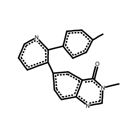 Cc1ccc(-c2ncccc2-c2ccc3ncn(C)c(=O)c3c2)cc1